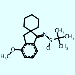 COc1cccc2c1CC1(CCCCC1)/C2=N/[S@+]([O-])C(C)(C)C